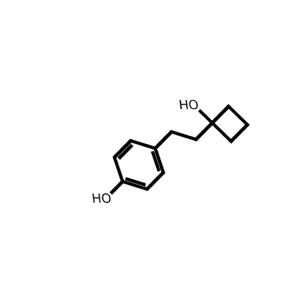 Oc1ccc(CCC2(O)CCC2)cc1